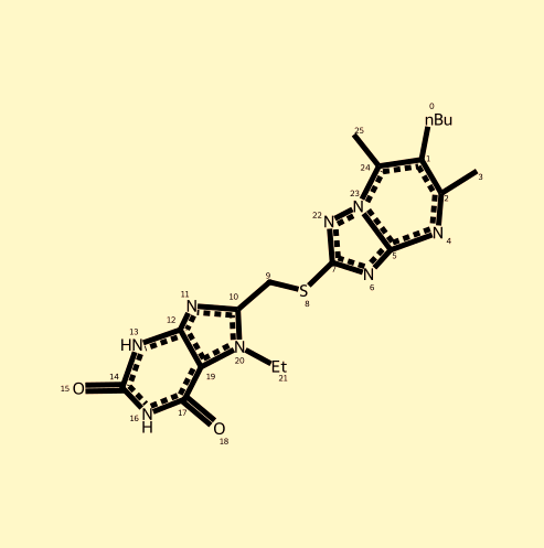 CCCCc1c(C)nc2nc(SCc3nc4[nH]c(=O)[nH]c(=O)c4n3CC)nn2c1C